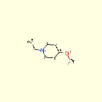 CC(=O)CN1CCC(OC(C)C)CC1